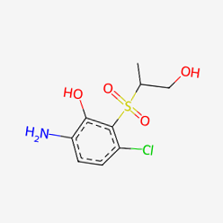 CC(CO)S(=O)(=O)c1c(Cl)ccc(N)c1O